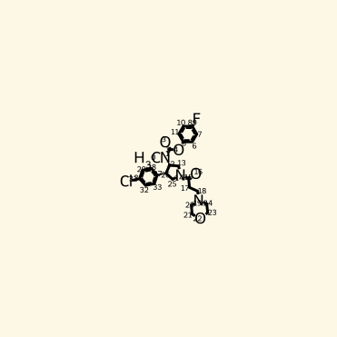 CN(C(=O)Oc1ccc(F)cc1)[C@@H]1CN(C(=O)CCN2CCOCC2)C[C@H]1c1ccc(Cl)cc1